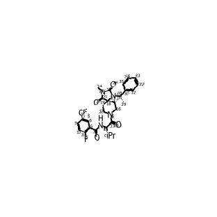 CC(C)[C@@H](NC(=O)c1cc(C(F)(F)F)ccc1F)C(=O)N1CCC2(CC1)C(=O)N(C)C(=O)N2[C@@H](C)c1ccccc1